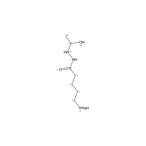 CCCCCCCCCCCC(=O)NNC(C)O